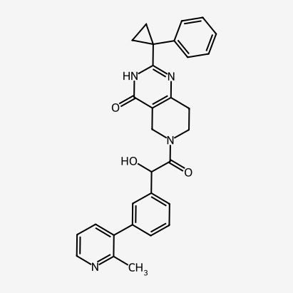 Cc1ncccc1-c1cccc(C(O)C(=O)N2CCc3nc(C4(c5ccccc5)CC4)[nH]c(=O)c3C2)c1